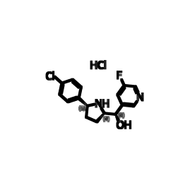 Cl.O[C@H](c1cncc(F)c1)[C@H]1CC[C@@H](c2ccc(Cl)cc2)N1